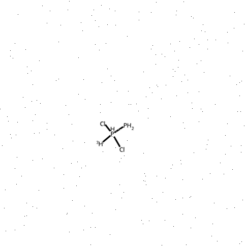 [3H][PH](P)(Cl)Cl